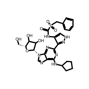 O=C(Nc1c[nH]nc1-c1nc(NC2CCCC2)c2ncn([C@@H]3O[C@H](CO)C(O)C3O)c2n1)S(=O)(=O)Cc1ccccc1